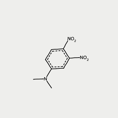 CN(C)c1ccc([N+](=O)[O-])c([N+](=O)[O-])c1